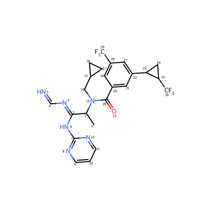 CC(/C(=N/C=N)Nc1ncccn1)N(CC1CC1)C(=O)c1cc(C2CC2C(F)(F)F)cc(C(F)(F)F)c1